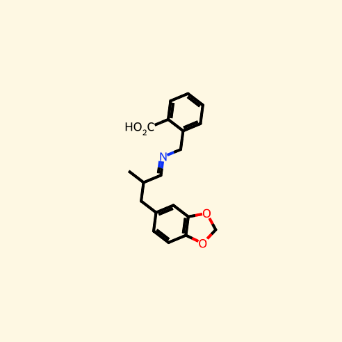 CC(C=NCc1ccccc1C(=O)O)Cc1ccc2c(c1)OCO2